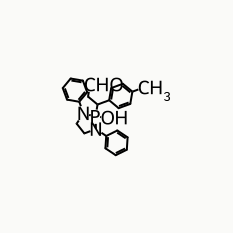 Cc1ccc(C(CC=O)[P]2(O)N(c3ccccc3)CCN2c2ccccc2)cc1